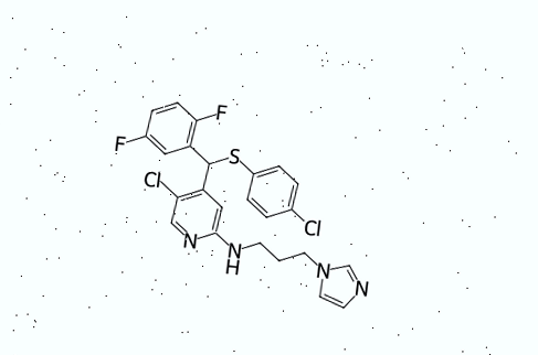 Fc1ccc(F)c(C(Sc2ccc(Cl)cc2)c2cc(NCCCn3ccnc3)ncc2Cl)c1